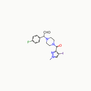 Cn1cc(I)c(C(=O)N2CCN(C(C=O)c3ccc(F)cc3)CC2)n1